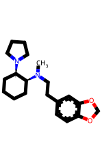 CN(CCc1ccc2c(c1)OCO2)[C@H]1CCCC[C@H]1N1CCCC1